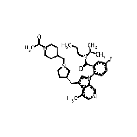 CCCN(C(=O)c1cc(F)ccc1-n1cc(C[C@@H]2CCN(CC3CCN(C(C)=O)CC3)C2)c2c(C)cncc21)C(C)C